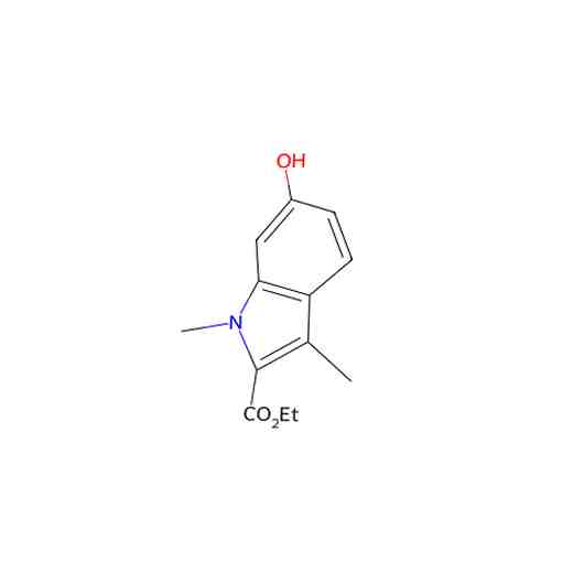 CCOC(=O)c1c(C)c2ccc(O)cc2n1C